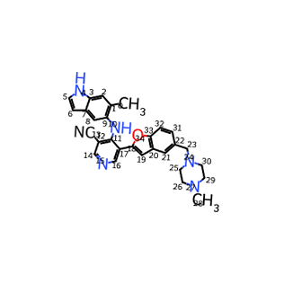 Cc1cc2[nH]ccc2cc1Nc1c(C#N)cncc1-c1cc2cc(CN3CCN(C)CC3)ccc2o1